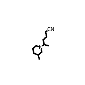 CC1CCCN(C(C)CCCC#N)C1